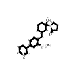 CC1(N2CCCC2=O)CCCC(Cc2ccc(-c3cccnc3)cc2Cl)C1.Cl